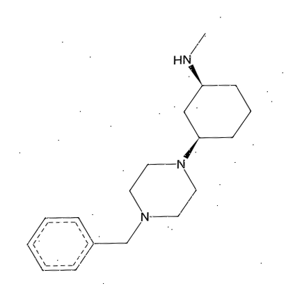 CN[C@H]1CCC[C@@H](N2CCN(Cc3ccccc3)CC2)C1